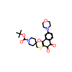 CC(C)(C)OC(=O)N1CCC2(CC1)CSC1=C(O2)c2cc(N3CCOCC3)ccc2C(=O)C1=O